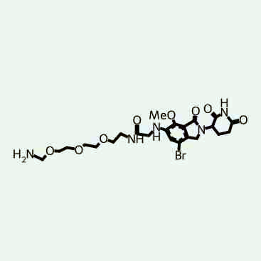 COc1c(NCC(=O)NCCOCCOCCOCN)cc(Br)c2c1C(=O)N(C1CCC(=O)NC1=O)C2